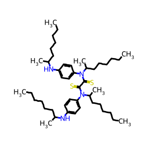 CCCCCCC(C)Nc1ccc(N(C(=S)C(=S)N(c2ccc(NC(C)CCCCCC)cc2)C(C)CCCCCC)C(C)CCCCCC)cc1